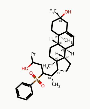 CC(C)C(O)CC([C@@H](C)[C@H]1CC[C@H]2[C@@H]3CC=C4C[C@](O)(C(F)(F)F)CC[C@]4(C)[C@H]3CC[C@]12C)S(=O)(=O)c1ccccc1